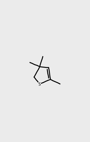 CC1=CC(C)(C)CS1